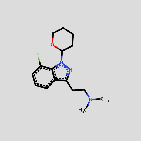 CN(C)CCc1nn(C2CCCCO2)c2c(F)cccc12